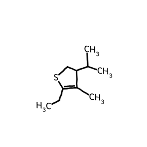 CCC1=C(C)C(C(C)C)CS1